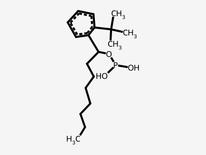 CCCCCCCC(OP(O)O)c1ccccc1C(C)(C)C